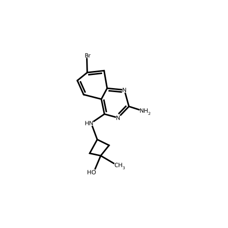 CC1(O)CC(Nc2nc(N)nc3cc(Br)ccc23)C1